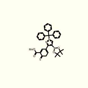 COC(=O)C1=CC(c2nn(C(c3ccccc3)(c3ccccc3)c3ccccc3)cc2B2OC(C)(C)C(C)(C)O2)=CCC1=S